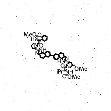 COC[C@H]1C[C@@H](c2nc3ccc4cc(-c5ccc6c(ccc7nc([C@@H]8CCCN8C(=O)[C@H](NC(=O)OC)c8ccccc8)[nH]c76)c5)ccc4c3[nH]2)N(C(=O)[C@@H](NC(=O)OC)C(C)C)C1